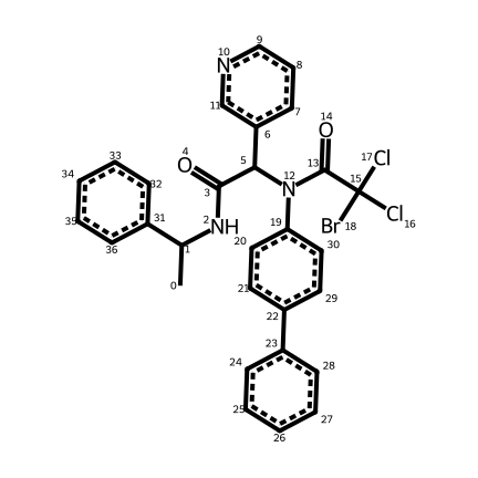 CC(NC(=O)C(c1cccnc1)N(C(=O)C(Cl)(Cl)Br)c1ccc(-c2ccccc2)cc1)c1ccccc1